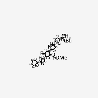 COCOc1cc(-c2cnn(C3CCCCO3)c2)c(F)cc1-c1ccc(N2CC[C@H](N(C)C(C)(C)C)C2)nn1